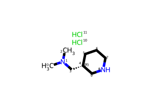 CN(C)C[C@@H]1CCCNC1.Cl.Cl